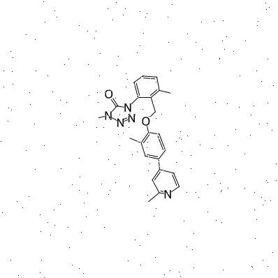 Cc1cc(-c2ccc(OCc3c(C)cccc3-n3nnn(C)c3=O)c(C)c2)ccn1